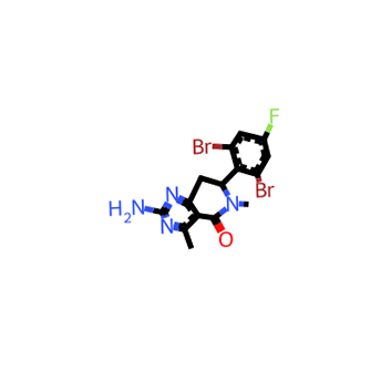 Cc1nc(N)nc2c1C(=O)N(C)C(c1c(Br)cc(F)cc1Br)C2